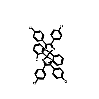 Clc1ccc(C2=NC(c3ccccc3Cl)(C3(c4ccccc4Cl)N=C(c4ccc(Cl)cc4)C(c4ccc(Cl)cc4)=N3)N=C2c2ccc(Cl)cc2)cc1